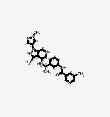 Cc1cncc(C(=O)Nc2cccc([C@H](C)Nc3cncc4c3c(C)nn4-c3cnn(C)c3)c2)c1